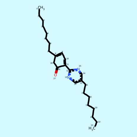 CCCCCCCCC1=CC=C(c2ncc(CCCCCCCC)cn2)C(=O)C1